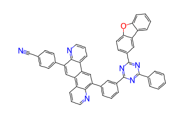 N#Cc1ccc(-c2cc3c4cccnc4c(-c4cccc(-c5nc(-c6ccccc6)nc(-c6ccc7oc8ccccc8c7c6)n5)c4)cc3c3cccnc23)cc1